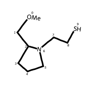 COCC1CCCN1CCS